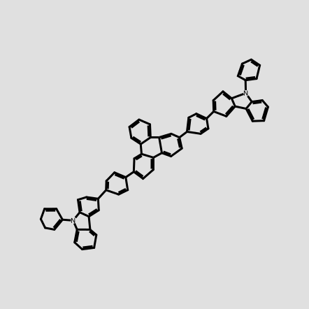 C1=CC(n2c3ccccc3c3cc(-c4ccc(-c5ccc6c7ccc(-c8ccc(-c9ccc%10c(c9)c9ccccc9n%10-c9ccccc9)cc8)cc7c7ccccc7c6c5)cc4)ccc32)=CCC1